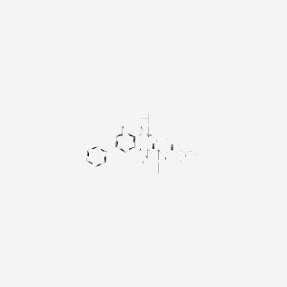 CCOC(=O)NC(=S)N(C)c1cc(-c2ccccc2)cnc1N